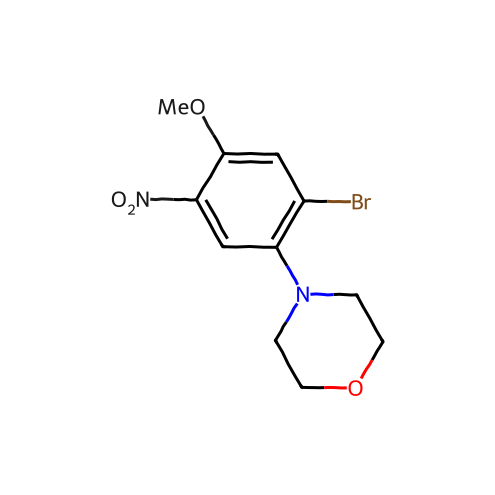 COc1cc(Br)c(N2CCOCC2)cc1[N+](=O)[O-]